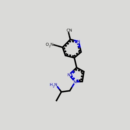 CC(N)Cn1ccc(-c2cnc(C#N)c([N+](=O)[O-])c2)n1